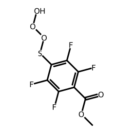 COC(=O)c1c(F)c(F)c(SOOO)c(F)c1F